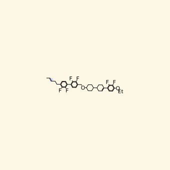 C/C=C/CCc1ccc(-c2ccc(COC3CCC(C4CC=C(c5ccc(OCC)c(F)c5F)CC4)CC3)c(F)c2F)c(F)c1F